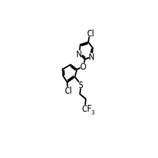 FC(F)(F)CCSc1c(Cl)cccc1Oc1ncc(Cl)cn1